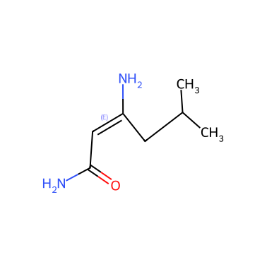 CC(C)C/C(N)=C\C(N)=O